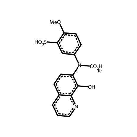 COc1ccc(N(C(=O)O)c2ccc3cccnc3c2O)cc1S(=O)(=O)O.[K]